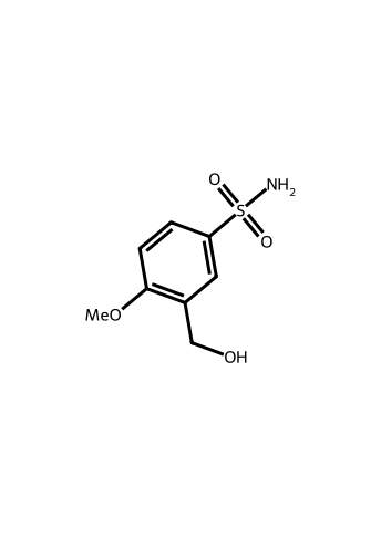 COc1ccc(S(N)(=O)=O)cc1CO